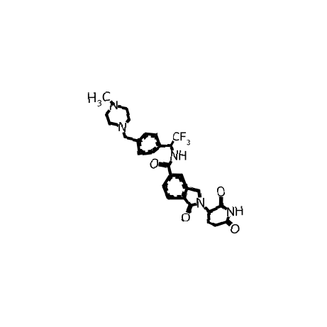 CN1CCN(Cc2ccc(C(NC(=O)c3ccc4c(c3)CN(C3CCC(=O)NC3=O)C4=O)C(F)(F)F)cc2)CC1